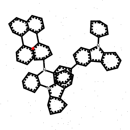 c1ccc(-c2cccc3cccc(-c4ccc(N(c5cccc(-c6ccc7c(c6)c6ccccc6n7-c6ccccc6)c5)c5ccccc5-n5c6ccccc6c6ccccc65)cc4)c23)cc1